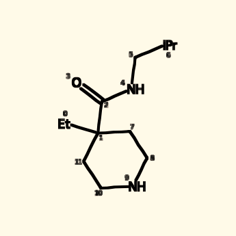 CCC1(C(=O)NCC(C)C)CCNCC1